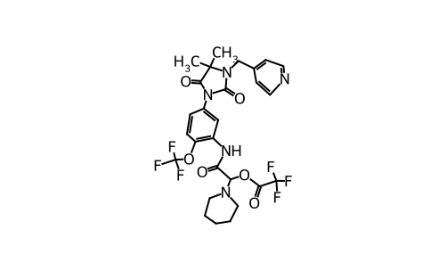 CC1(C)C(=O)N(c2ccc(OC(F)(F)F)c(NC(=O)C(OC(=O)C(F)(F)F)N3CCCCC3)c2)C(=O)N1Cc1ccncc1